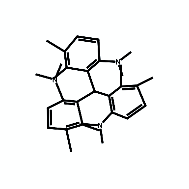 Cc1ccc(N(C)C)c(C(c2c(N(C)C)ccc(C)c2C)c2c(N(C)C)ccc(C)c2C)c1C